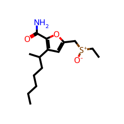 CCCCCC(C)c1cc(C[S+]([O-])CC)oc1C(N)=O